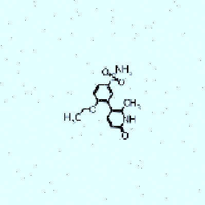 CCOc1ccc(S(N)(=O)=O)cc1-c1ccc(=O)[nH]c1C